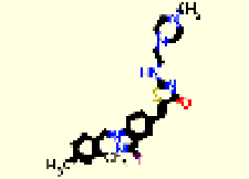 Cc1ccc(Cn2nc(I)c3cc(/C=C4\SC(NCCN5CCN(C)CC5)=NC4=O)ccc32)c(C(F)(F)F)c1